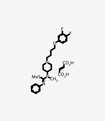 CS/C(=N\c1ccccc1)N(C)C1CCN(CCCCOc2ccc(F)c(F)c2)CC1.O=C(O)/C=C/C(=O)O